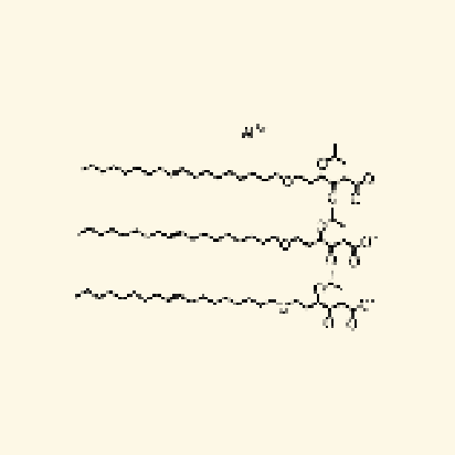 CCCCCCCCC=CCCCCCCCCOCCC(OC(C)C)C(=O)CC(=O)[O-].CCCCCCCCC=CCCCCCCCCOCCC(OC(C)C)C(=O)CC(=O)[O-].CCCCCCCCC=CCCCCCCCCOCCC(OC(C)C)C(=O)CC(=O)[O-].[Al+3]